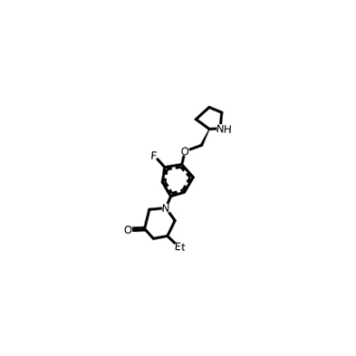 CCC1CC(=O)CN(c2ccc(OC[C@H]3CCCN3)c(F)c2)C1